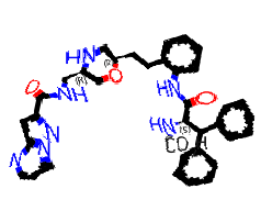 O=C(O)N[C@H](C(=O)Nc1ccccc1CC[C@@H]1CN[C@H](CNC(=O)c2cc3ncccn3n2)CO1)C(c1ccccc1)c1ccccc1